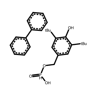 CC(C)(C)c1cc(CO[PH](=O)O)cc(C(C)(C)C)c1O.c1ccc(-c2ccccc2)cc1